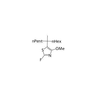 CCCCCCC(C)(CCCCC)c1sc(F)nc1OC